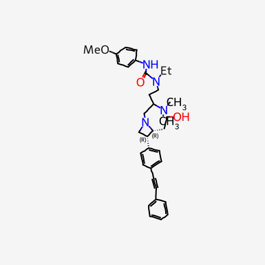 CCN(CCC(CN1C[C@@H](c2ccc(C#Cc3ccccc3)cc2)[C@H]1CCO)N(C)C)C(=O)Nc1ccc(OC)cc1